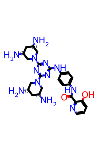 N[C@@H]1C[C@H](N)CN(c2nc(Nc3ccc(NC(=O)c4ncccc4O)cc3)nc(N3C[C@H](N)C[C@H](N)C3)n2)C1